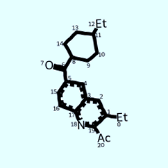 CCc1cc2cc(C(=O)C3CCC(CC)CC3)ccc2nc1C(C)=O